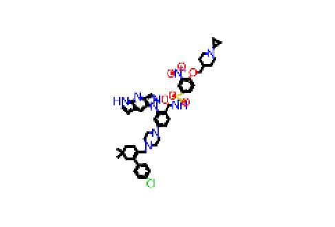 CC1(C)CCC(CN2CCN(c3ccc(C(=O)NS(=O)(=O)c4ccc(OCC5CCN(C6CC6)CC5)c([N+](=O)[O-])c4)c(-n4ncc5nc6[nH]ccc6cc54)c3)CC2)=C(c2ccc(Cl)cc2)C1